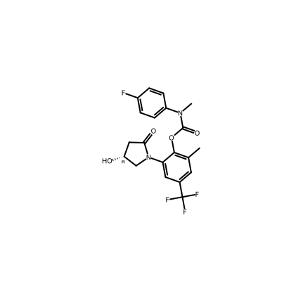 Cc1cc(C(F)(F)F)cc(N2C[C@H](O)CC2=O)c1OC(=O)N(C)c1ccc(F)cc1